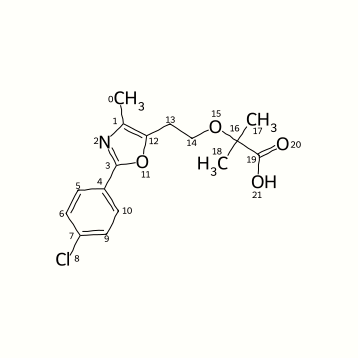 Cc1nc(-c2ccc(Cl)cc2)oc1CCOC(C)(C)C(=O)O